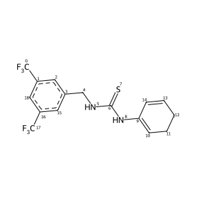 FC(F)(F)c1cc(CNC(=S)NC2=CC[CH]C=C2)cc(C(F)(F)F)c1